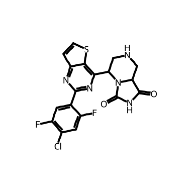 O=C1NC(=O)N2C1CNCC2c1nc(-c2cc(F)c(Cl)cc2F)nc2ccsc12